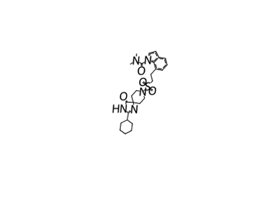 CN(C)C(=O)n1ccc2cccc(CCS(=O)(=O)N3CCC4(CC3)N=C(C3CCCCC3)NC4=O)c21